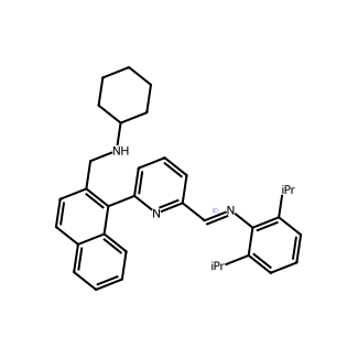 CC(C)c1cccc(C(C)C)c1/N=C/c1cccc(-c2c(CNC3CCCCC3)ccc3ccccc23)n1